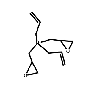 C=CC[N+](CC=C)(CC1CO1)CC1CO1